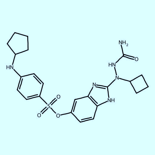 NC(=O)NN(c1nc2cc(OS(=O)(=O)c3ccc(NC4CCCC4)cc3)ccc2[nH]1)C1CCC1